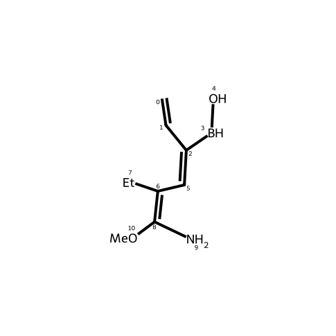 C=C/C(BO)=C\C(CC)=C(/N)OC